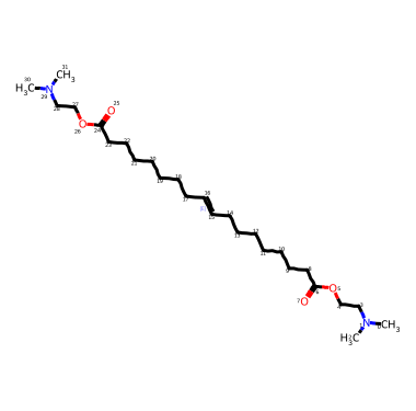 CN(C)CCOC(=O)CCCCCCC/C=C/CCCCCCCC(=O)OCCN(C)C